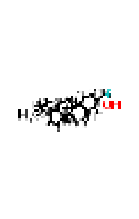 C=C(C)[C@H]1CC[C@H]2[C@@H]3CC[C@@H]4C[C@](O)(CF)CC[C@@H]4[C@H]3CC[C@]12C